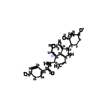 C=Cc1[nH]n(C2CCC(=O)NC2=O)c(=O)c1/C(=C\C)CNC(=O)C1=CCC(Cl)C#C1